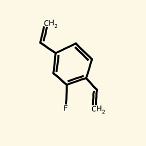 C=Cc1ccc(C=C)c(F)c1